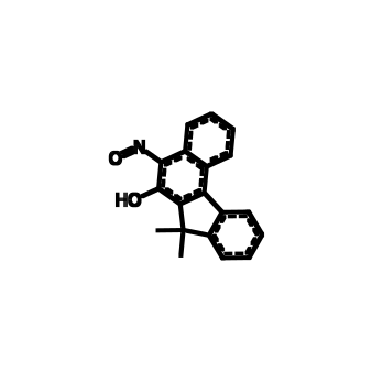 CC1(C)c2ccccc2-c2c1c(O)c(N=O)c1ccccc21